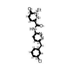 CCn1nc(C(=O)Nc2ccc(Cc3cccc(Cl)c3)nn2)ccc1=O